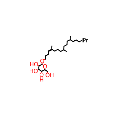 CC(=CCCCOC1OC(CO)C(O)C(O)C1O)CCCC(C)CCCC(C)CCCC(C)C